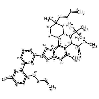 C=CC=CC1(C)CCN(c2c(C(OC(C)(C)C)C(=O)OC)c(C)nc3cc(-c4cccc(-c5cc(Cl)ccc5OCC=C)c4)nn23)CC1